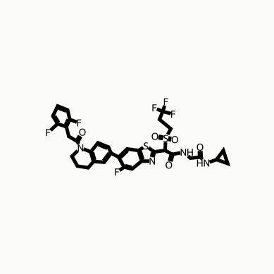 O=C(CNC(=O)C(c1nc2cc(F)c(-c3ccc4c(c3)CCCN4C(=O)Cc3c(F)cccc3F)cc2s1)S(=O)(=O)CCC(F)(F)F)NC1CC1